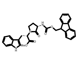 COC(=O)[C@H](Cc1c[nH]c2ccccc12)N1CC[C@H](NC(=O)OCC2c3ccccc3-c3ccccc32)C1=O